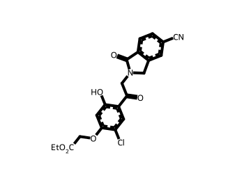 CCOC(=O)COc1cc(O)c(C(=O)CN2Cc3cc(C#N)ccc3C2=O)cc1Cl